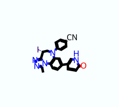 Cc1nnc2n1-c1ccc(-c3ccc(=O)[nH]c3)cc1N(c1ccc(C#N)cc1)C[C@H]2I